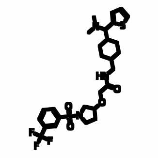 CN(C)C(c1cccs1)C1CCC(CNC(=O)COC2CCN(S(=O)(=O)c3cccc(C(F)(F)F)c3)C2)CC1